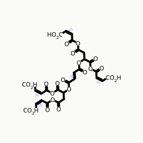 O=C(O)/C=C\C(=O)OC(=O)CC(OC(=O)/C=C/C(=O)OC(CC(=O)OC(=O)/C=C\C(=O)O)C(=O)OC(=O)/C=C\C(=O)O)C(=O)OC(=O)/C=C\C(=O)O